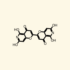 O=c1cc(-c2cc(=O)c3c(O)nc(O)cc3o2)oc2cc(O)nc(O)c12